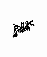 CCCN(CCC)C(=O)c1cncc(C(=O)N[C@@H](Cc2cc(F)cc(F)c2)[C@H](O)CNCc2ccc(C)o2)c1